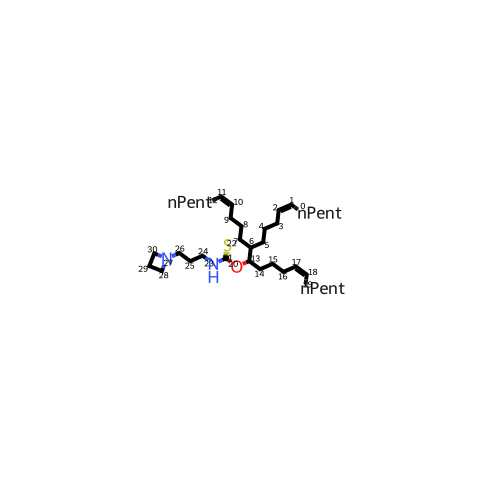 CCCCC/C=C\CCCC(CCC/C=C\CCCCC)C(CCC/C=C\CCCCC)OC(=S)NCCCN1CCC1